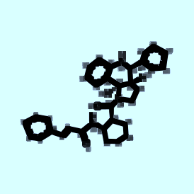 O=C(/C=C/c1ccccc1)N[C@@H]1CCCC[C@@H]1C(=O)N1CC[C@H]2[C@H](c3ccccc3)Nc3ccccc3[C@@H]21